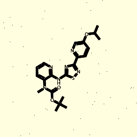 CC(C)Oc1ccc(-c2nsc(Nc3ncccc3N(C)C(=O)OC(C)(C)C)n2)nc1